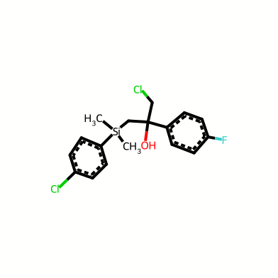 C[Si](C)(CC(O)(CCl)c1ccc(F)cc1)c1ccc(Cl)cc1